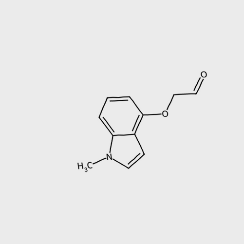 Cn1ccc2c(OCC=O)cccc21